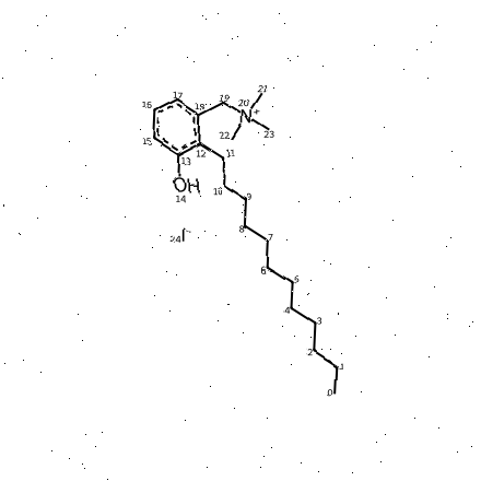 CCCCCCCCCCCCc1c(O)cccc1C[N+](C)(C)C.[I-]